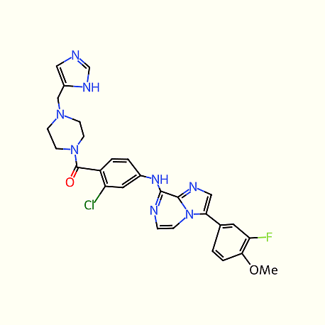 COc1ccc(-c2cnc3c(Nc4ccc(C(=O)N5CCN(Cc6cnc[nH]6)CC5)c(Cl)c4)nccn23)cc1F